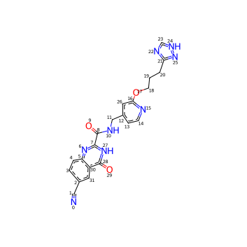 N#Cc1ccc2nc(C(=O)NCc3ccnc(OCCCc4nc[nH]n4)c3)[nH]c(=O)c2c1